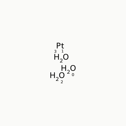 O.O.O.[Pt]